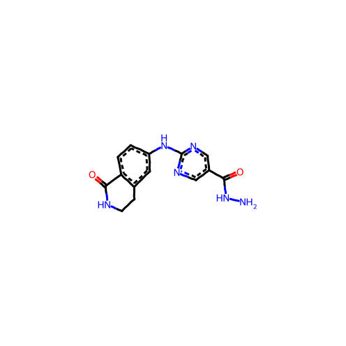 NNC(=O)c1cnc(Nc2ccc3c(c2)CCNC3=O)nc1